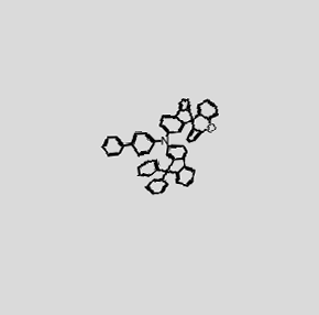 c1ccc(-c2ccc(N(c3ccc4c(c3)C(c3ccccc3)(c3ccccc3)c3ccccc3-4)c3ccc4c(c3)C3(c5ccccc5Oc5ccccc53)c3ccccc3-4)cc2)cc1